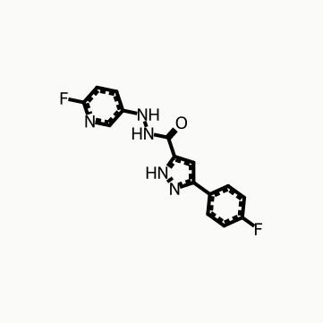 O=C(NNc1ccc(F)nc1)c1cc(-c2ccc(F)cc2)n[nH]1